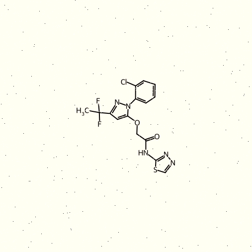 CC(F)(F)c1cc(OCC(=O)Nc2nncs2)n(-c2ccccc2Cl)n1